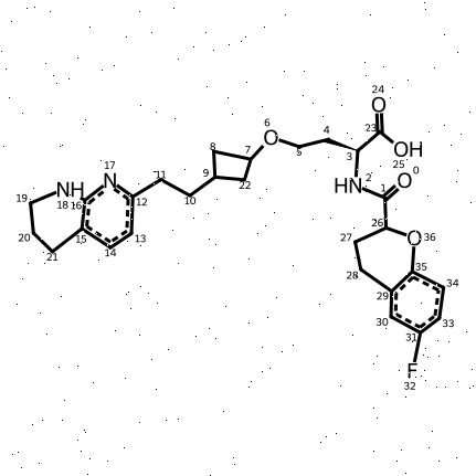 O=C(N[C@@H](CCOC1CC(CCc2ccc3c(n2)NCCC3)C1)C(=O)O)C1CCc2cc(F)ccc2O1